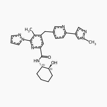 Cc1c(Cc2ccc(-c3cnn(C)c3)nc2)cc(C(=O)N[C@H]2CCCC[C@@H]2O)nc1-n1cccn1